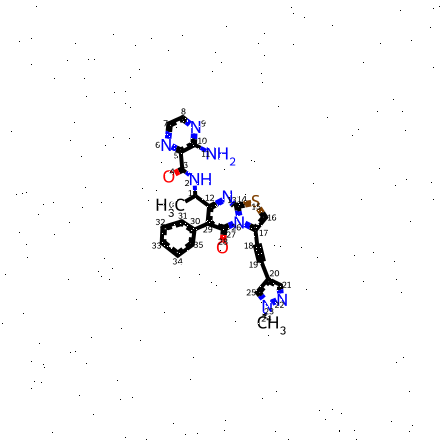 CC(NC(=O)c1nccnc1N)c1nc2scc(C#Cc3cnn(C)c3)n2c(=O)c1-c1ccccc1